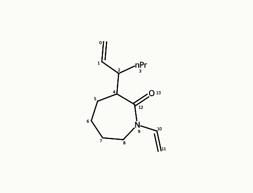 C=CC(CCC)C1CCCCN(C=C)C1=O